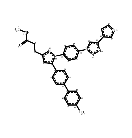 CNC(=O)CCc1cc(-c2ccc(-c3ccc(C)cc3)cc2)n(-c2ccc(-n3cc(-c4ccsc4)nn3)cc2)n1